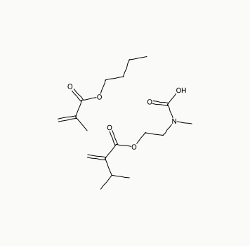 C=C(C(=O)OCCN(C)C(=O)O)C(C)C.C=C(C)C(=O)OCCCC